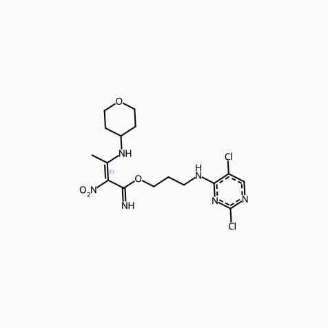 C/C(NC1CCOCC1)=C(/C(=N)OCCCNc1nc(Cl)ncc1Cl)[N+](=O)[O-]